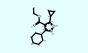 CCOC(=O)c1c(C2CCCCC2)noc1C1CC1